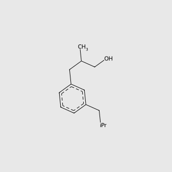 CC(C)Cc1cccc(CC(C)CO)c1